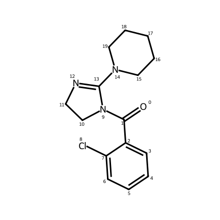 O=C(c1ccccc1Cl)N1CCN=C1N1CCCCC1